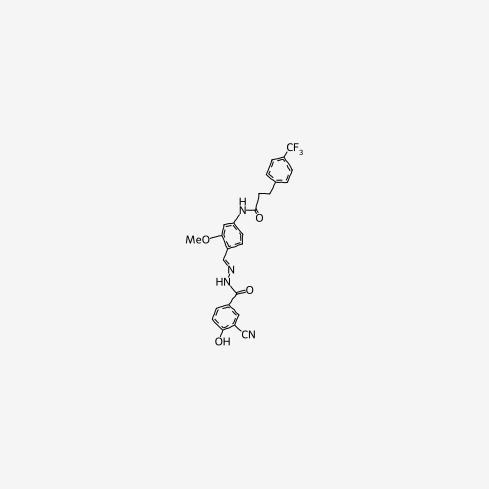 COc1cc(NC(=O)CCc2ccc(C(F)(F)F)cc2)ccc1C=NNC(=O)c1ccc(O)c(C#N)c1